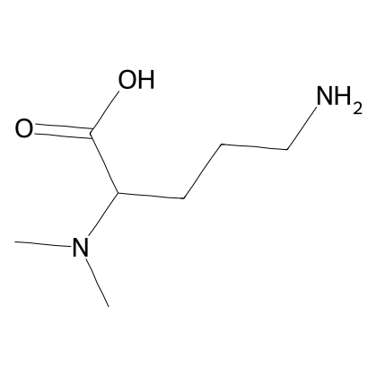 CN(C)C(CCCN)C(=O)O